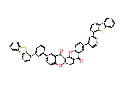 O=c1c2cc(-c3cccc(-c4cccc5c4sc4ccccc45)c3)ccc2oc2c1ccc1oc3ccc(-c4cccc(-c5cccc6c5sc5ccccc56)c4)cc3c(=O)c12